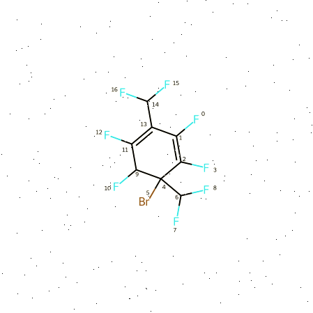 FC1=C(F)C(Br)(C(F)F)C(F)C(F)=C1C(F)F